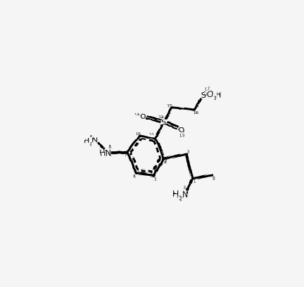 CC(N)Cc1ccc(NN)cc1S(=O)(=O)CCS(=O)(=O)O